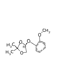 COc1ccccc1O[C@H]1COC(C)(C)O1